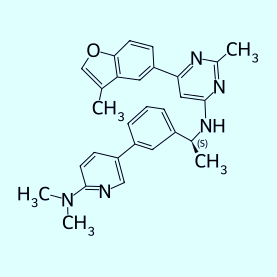 Cc1nc(N[C@@H](C)c2cccc(-c3ccc(N(C)C)nc3)c2)cc(-c2ccc3occ(C)c3c2)n1